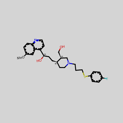 COc1ccc2nccc([C@H](O)CC[C@@H]3CCN(CCCSc4ccc(F)cc4)C[C@@H]3CO)c2c1